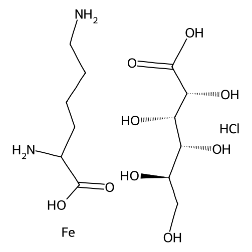 Cl.NCCCCC(N)C(=O)O.O=C(O)[C@H](O)[C@@H](O)[C@H](O)[C@H](O)CO.[Fe]